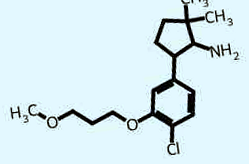 COCCCOc1cc(C2CCC(C)(C)C2N)ccc1Cl